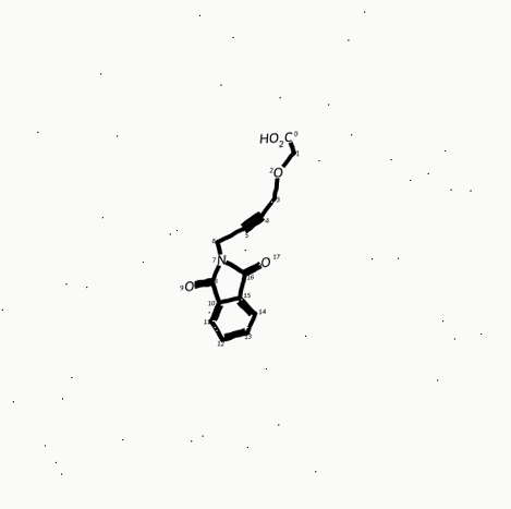 O=C(O)COCC#CCN1C(=O)c2ccccc2C1=O